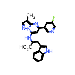 Cc1cnn2c(NC(Cc3c[nH]c4ccccc34)C(=O)O)cc(-c3cncc(F)c3)nc12